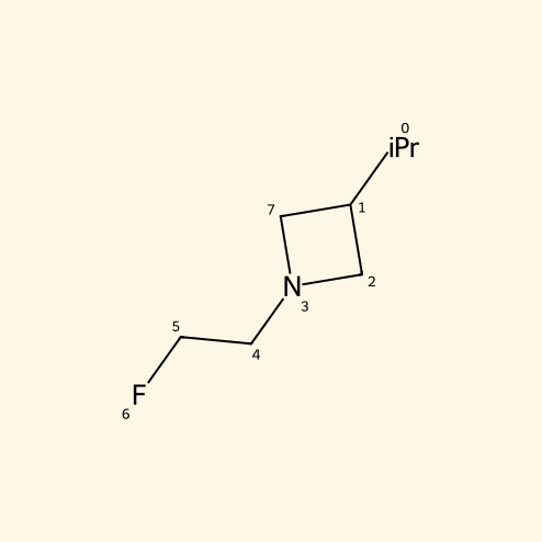 CC(C)C1CN(CCF)C1